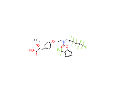 CCOC(Cc1ccc(OCCN(CC(F)(F)C(F)(F)C(F)(F)C(F)(F)C(F)(F)F)C(=O)Oc2ccccc2C(F)(F)F)cc1)C(=O)O